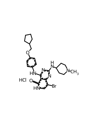 CN1CCC(Nc2nc(Nc3ccc(OCC4CCCC4)cc3)c3c(=O)[nH]cc(Br)c3n2)CC1.Cl